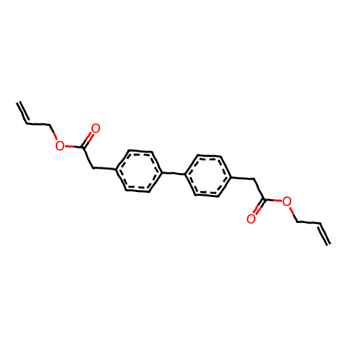 C=CCOC(=O)Cc1ccc(-c2ccc(CC(=O)OCC=C)cc2)cc1